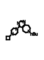 CCCCN1CCc2ncnc(N3CCN(C4CCC4)CC3)c2CC1